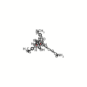 Cc1ncsc1-c1ccc(CNC(=O)[C@@H]2C[C@H](O)CN2C(=O)[C@@H](C(C)(C)C)C(OCCOCCOCCOCCOCCOCC(N)=O)(C(N)=O)[C@@H](C(=O)N2C[C@@H](O)C[C@H]2C(=O)NCc2ccc(-c3scnc3C)cc2)C(C)(C)C)cc1